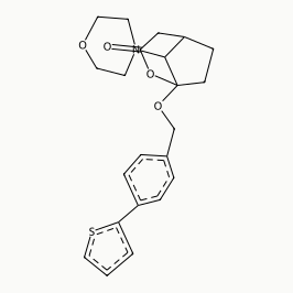 O=C1CC2CCC(OCc3ccc(-c4cccs4)cc3)(O1)C2N1CCOCC1